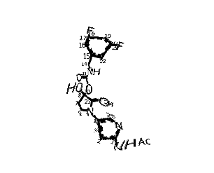 CC(=O)Nc1ccc(N2CCC(O)(OC(=O)NCc3cc(F)cc(F)c3)C2=O)cn1